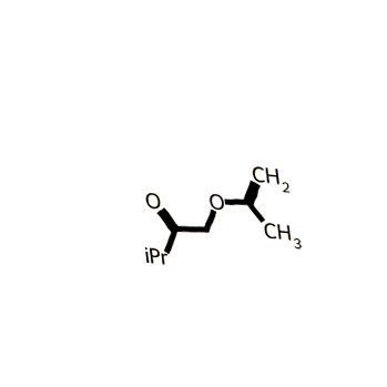 C=C(C)OCC(=O)C(C)C